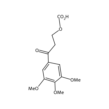 COc1cc(C(=O)CCOC(=O)O)cc(OC)c1OC